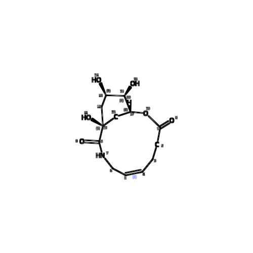 O=C1CC/C=C\CNC(=O)[C@]2(O)C[C@@H](O)[C@@H](O)[C@@H](C2)O1